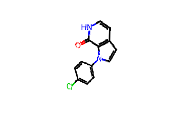 O=c1[nH]ccc2ccn(-c3ccc(Cl)cc3)c12